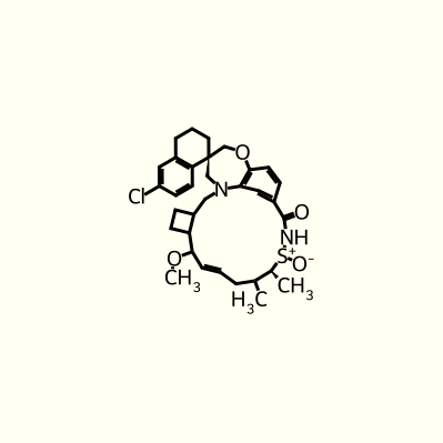 COC1/C=C/CC(C)[C@H](C)[S+]([O-])NC(=O)c2ccc3c(c2)N(CC2CCC21)C[C@@]1(CCCc2cc(Cl)ccc21)CO3